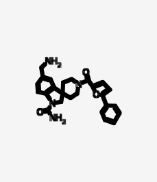 NCc1ccc2c(c1)C1(CCN(C(=O)c3ccc(-c4ccccc4)o3)CC1)CN2C(N)=O